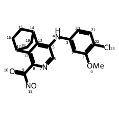 COc1cc(Nc2cnc(C(=O)N=O)c3c2C2CCC3CC2)ccc1Cl